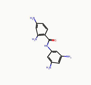 Nc1cc(N)cc(NC(=O)c2ccc(N)cc2N)c1